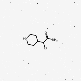 CCC(C(N)=O)C1CCNCC1